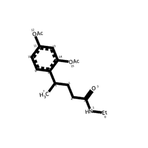 CCNC(=O)CCC(C)c1ccc(OC(C)=O)cc1OC(C)=O